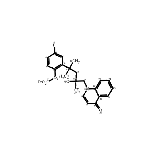 CCOC(=O)Oc1ccc(F)cc1C(C)(C)CC(O)(Cn1ccc(=O)c2ccccc21)C(F)(F)F